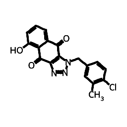 Cc1cc(Cn2nnc3c2C(=O)c2cccc(O)c2C3=O)ccc1Cl